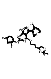 CC1(C)OCC(CCCOc2nc(Oc3ccc(F)cc3F)nc3[nH]nc(-c4ccccc4Cl)c23)O1